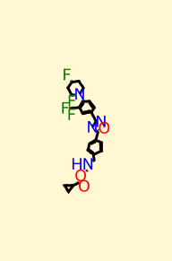 O=C(OCNCc1ccc(-c2nc(-c3ccc(N4CCC(F)CC4)c(C(F)(F)F)c3)no2)cc1)C1CC1